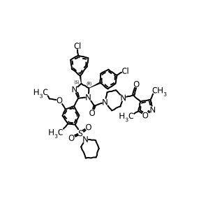 CCOc1cc(C)c(S(=O)(=O)N2CCCCC2)cc1C1=N[C@@H](c2ccc(Cl)cc2)[C@@H](c2ccc(Cl)cc2)N1C(=O)N1CCN(C(=O)c2c(C)noc2C)CC1